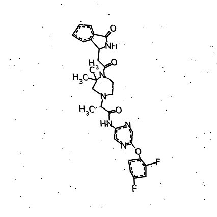 C[C@@H](C(=O)Nc1cnc(Oc2ccc(F)cc2F)cn1)N1CCN(C(=O)CC2NC(=O)c3ccccc32)C(C)(C)C1